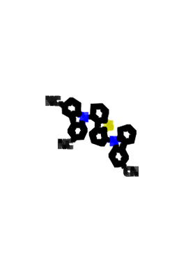 N#Cc1ccc2c(c1)c1ccccc1n2-c1cccc2c1sc1cccc(-n3c4ccc(C#N)cc4c4cc(C#N)ccc43)c12